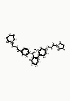 O=C(c1ccc(OCCN2CCCCC2)cc1)c1ccccc1-c1ccc(OCCN2CCCC2)cc1